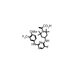 C=C(C(=O)O)N1C(C)(C)CC(Nc2nc(Nc3ccc(OC)c(C(F)(F)F)c3)ncc2F)CC1(C)C